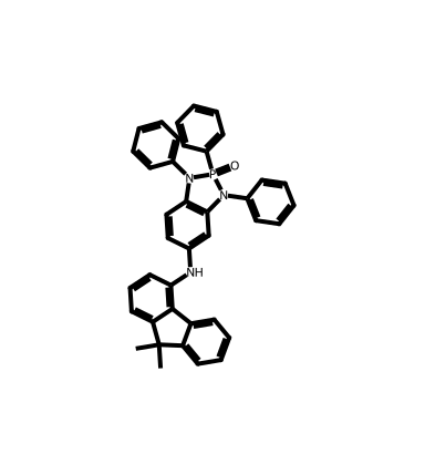 CC1(C)c2ccccc2-c2c(Nc3ccc4c(c3)N(c3ccccc3)P(=O)(c3ccccc3)N4c3ccccc3)cccc21